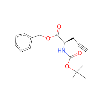 C#CC[C@@H](NC(=O)OC(C)(C)C)C(=O)OCc1ccccc1